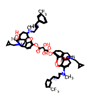 CN(C/C=C/c1cccc(C(F)(F)F)c1)C1CC[C@@]2(O)[C@H]3Cc4ccc(OC(=O)C(O)C(O)C(=O)Oc5ccc6c7c5OC5C(N(C)C/C=C/c8cccc(C(F)(F)F)c8)CC[C@@]8(O)[C@@H](C6)N(CC6CC6)CC[C@]758)c5c4[C@@]2(CCN3CC2CC2)C1O5